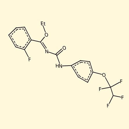 CCO/C(=N\C(=O)Nc1ccc(OC(F)(F)C(F)F)cc1)c1ccccc1F